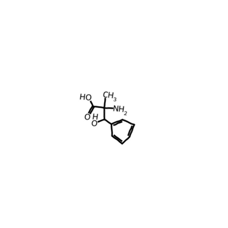 CC(N)(C(=O)O)C(O)c1ccccc1